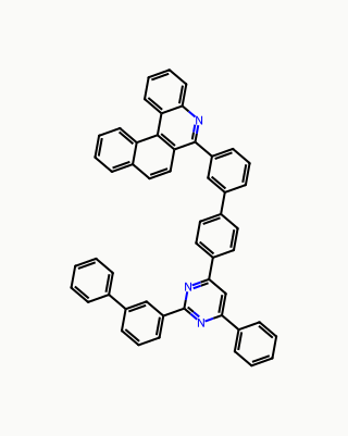 c1ccc(-c2cccc(-c3nc(-c4ccccc4)cc(-c4ccc(-c5cccc(-c6nc7ccccc7c7c6ccc6ccccc67)c5)cc4)n3)c2)cc1